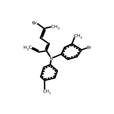 C=C/C(=C\C=C(/C)Br)N(c1ccc(C)cc1)c1ccc(Br)c(C)c1